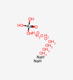 O.O.O.O.O.O.O.O=[As](O)(O)O.[NaH].[NaH]